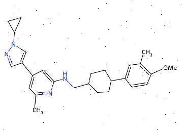 COc1ccc(C2CCC(CNc3cc(-c4cnn(C5CC5)c4)cc(C)n3)CC2)cc1C